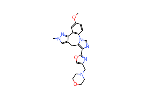 COc1ccc2c(c1)-c1nn(C)cc1Cc1c(-c3nc(CN4CCOCC4)co3)ncn1-2